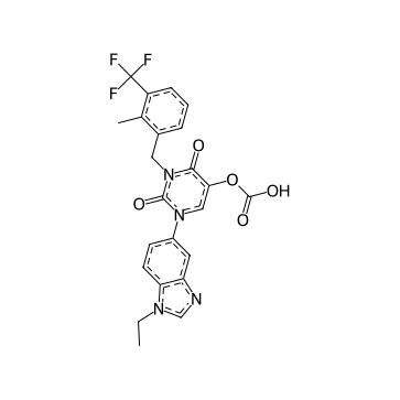 CCn1cnc2cc(-n3cc(OC(=O)O)c(=O)n(Cc4cccc(C(F)(F)F)c4C)c3=O)ccc21